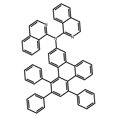 c1ccc(-c2cc(-c3ccccc3)c3c4ccccc4c4cc(N(c5nccc6ccccc56)c5nccc6ccccc56)ccc4c3c2-c2ccccc2)cc1